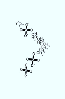 O.O.O.O.O.O.O.O.O=S(=O)([O-])[O-].O=S(=O)([O-])[O-].O=S(=O)([O-])[O-].[Y+3].[Y+3]